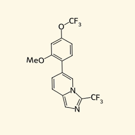 COc1cc(OC(F)(F)F)ccc1-c1ccc2cnc(C(F)(F)F)n2c1